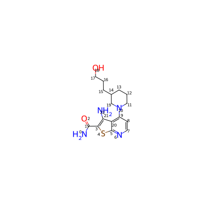 NC(=O)c1sc2nccc(N3CCCC(CCCO)C3)c2c1N